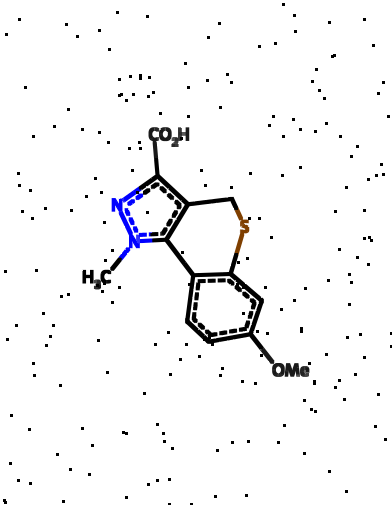 COc1ccc2c(c1)SCc1c(C(=O)O)nn(C)c1-2